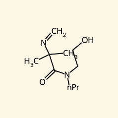 C=NC(C)(C)C(=O)N(CCC)CCO